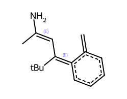 C=c1cccc/c1=C(/C=C(\C)N)C(C)(C)C